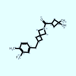 Cc1ccc(CC2CC3(C2)CN(C(=O)C2CC(C)(O)C2)C3)cc1C(F)(F)F